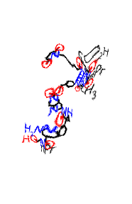 CCCN(CCO)C(=O)C1=Cc2ccc(C3(C(=O)Nc4cnc5c(c4)CN(C(=O)OCc4ccc(NC(=O)[C@H](C)NC(=O)[C@@H](NC(=O)[C@H](CCC(=O)O)NC(=O)CCCCCN6C(=O)C=CC6=O)C(C)C)cc4)CC5)CC3)cc2N=C(N)C1